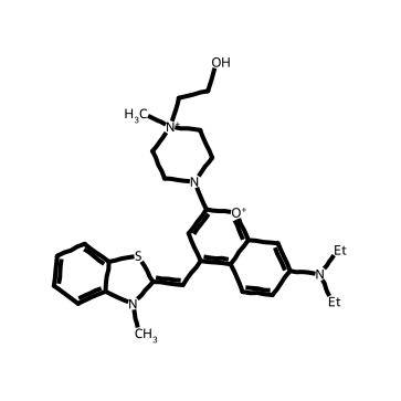 CCN(CC)c1ccc2c(/C=C3\Sc4ccccc4N3C)cc(N3CC[N+](C)(CCO)CC3)[o+]c2c1